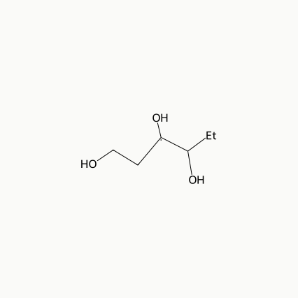 CCC(O)[C](O)CCO